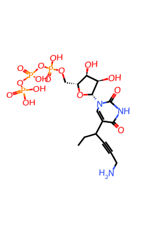 CCC(C#CCN)c1cn([C@@H]2O[C@H](COP(=O)(O)OP(=O)(O)OP(=O)(O)O)[C@@H](O)[C@H]2O)c(=O)[nH]c1=O